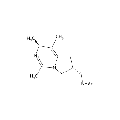 CC(=O)NC[C@H]1CC2=C(C)[C@H](C)N=C(C)N2C1